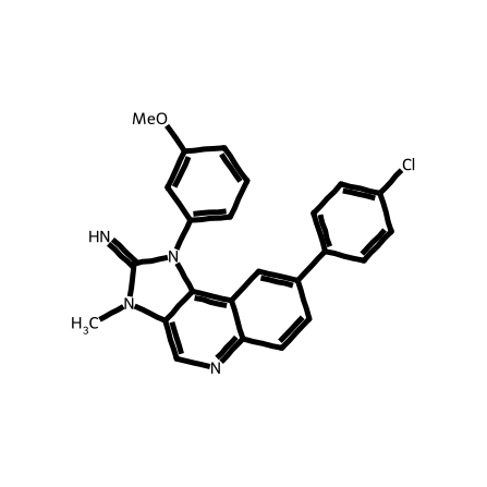 COc1cccc(-n2c(=N)n(C)c3cnc4ccc(-c5ccc(Cl)cc5)cc4c32)c1